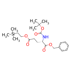 CC(C)(C)OC(=O)N[C@@H](CCC(=O)OCC[Si](C)(C)C)C(=O)OCc1ccccc1